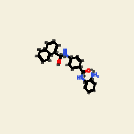 Nc1ccccc1NC(=O)c1ccc(NC(=O)c2cccc3ccccc23)cc1